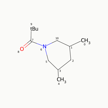 CC1CC(C)CN(C(=O)C(C)(C)C)C1